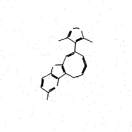 COc1ccc2[nH]c3c(c2n1)CC=C=C/C(c1c(C)noc1C)=C\3